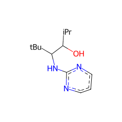 CC(C)C(O)C(Nc1ncccn1)C(C)(C)C